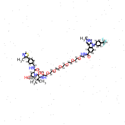 Cc1ncsc1-c1ccc(CNC(=O)[C@@H]2C[C@@H](O)CN2C(=O)[C@@H](NC(=O)COCCOCCOCCOCCOCCOCCNC(=O)c2ccc3c(c2)c2cn(C)nc2n3-c2ccc(C(F)(F)F)cc2)C(C)(C)C)cc1